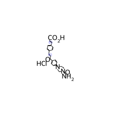 Cl.NC(=O)N1CCN(c2ccc(C(=O)/C=C/c3ccc(/C=C/C(=O)O)cc3)cc2)CC1